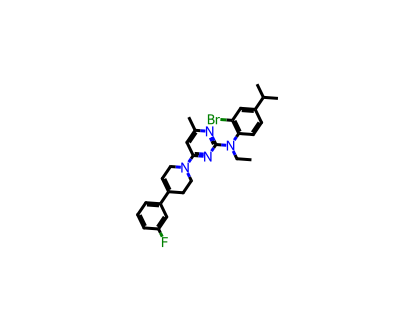 CCN(c1nc(C)cc(N2CC=C(c3cccc(F)c3)CC2)n1)c1ccc(C(C)C)cc1Br